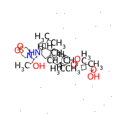 CC(C)[C@@H]1CC[C@]2(NC[C@@H]([C@H](C)O)N3CCS(=O)(=O)CC3)CC[C@]3(C)[C@H](CC[C@@H]4[C@@]5(C)CC[C@H](OC(=O)[C@H]6C[C@@H](C(=O)O)C6(C)C)C(C)(C)[C@@H]5CC[C@]43C)[C@@H]12